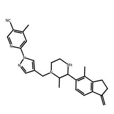 C=C1CCc2c1ccc(C1NCCN(Cc3cnn(-c4cc(C)c(C#N)cn4)c3)C1C)c2C